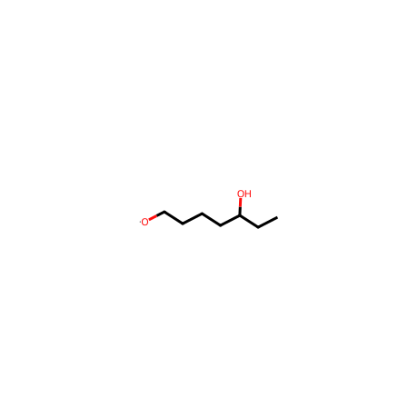 CCC(O)CCCC[O]